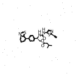 C#Cc1ncc(NC(=O)N[C@@H](COC(=O)CC(C)C)c2ccc(-c3cccc4ncsc34)cc2)s1